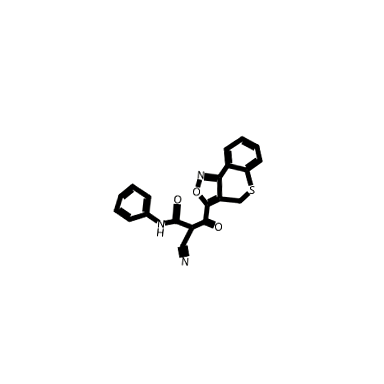 N#CC(C(=O)Nc1ccccc1)C(=O)c1onc2c1CSc1ccccc1-2